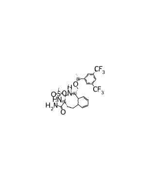 C[C@@H](OC[C@H]1NC[C@](NS(C)(=O)=O)(C(N)=O)CCC2C=CC=CC21)c1cc(C(F)(F)F)cc(C(F)(F)F)c1